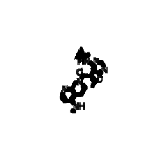 CNc1ccnc2c1CCN(C(=O)c1c(C)oc3ncnc(NC4(C)CC4)c13)C2